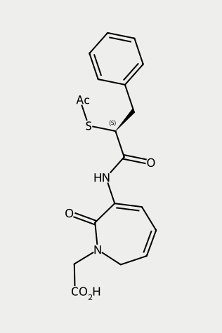 CC(=O)S[C@@H](Cc1ccccc1)C(=O)NC1=CC=CCN(CC(=O)O)C1=O